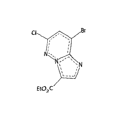 CCOC(=O)c1cnc2c(Br)cc(Cl)nn12